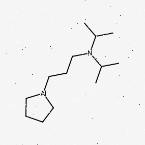 CC(C)N(CC[CH2][Al]1[CH2]CC[CH2]1)C(C)C